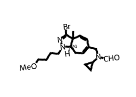 COCCCCN1N=C(Br)C2(C)C=CC(CN(C=O)C3CC3)=CC[C@@H]12